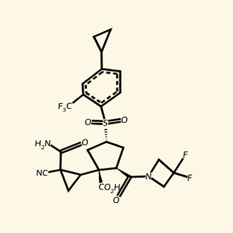 N#CC1(C(N)=O)CC1[C@]1(C(=O)O)C[C@H](S(=O)(=O)c2ccc(C3CC3)cc2C(F)(F)F)C[C@H]1C(=O)N1CC(F)(F)C1